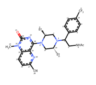 CC[C@H]1CN(C(CNC(C)=O)c2ccc(C(F)(F)F)cc2)[C@H](CC)CN1c1nc(=O)n(C)c2ccc(C#N)nc12